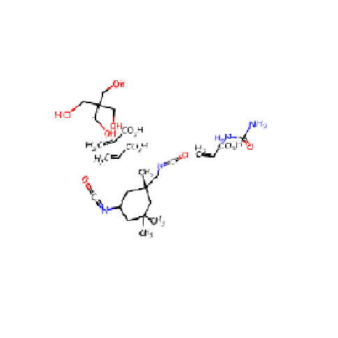 C=CC(=O)O.C=CC(=O)O.C=CC(=O)O.CC1(C)CC(N=C=O)CC(C)(CN=C=O)C1.NC(N)=O.OCC(CO)(CO)CO